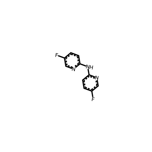 Fc1ccc(Nc2ccc(F)cn2)nc1